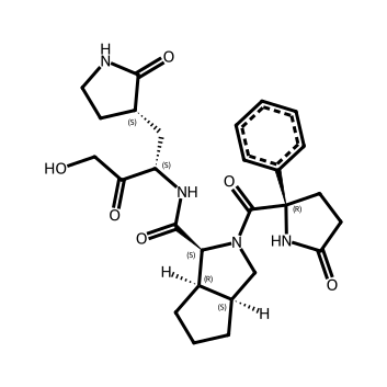 O=C1CC[C@](C(=O)N2C[C@H]3CCC[C@H]3[C@H]2C(=O)N[C@@H](C[C@@H]2CCNC2=O)C(=O)CO)(c2ccccc2)N1